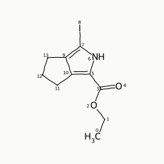 CCOC(=O)c1[nH]c(I)c2c1CCC2